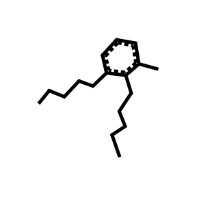 CCCCCc1cccc(C)c1CCCCC